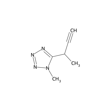 C#CC(C)c1nnnn1C